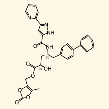 Cc1oc(=O)oc1COC(=O)[C@H](O)C[C@@H](Cc1ccc(-c2ccccc2)cc1)NC(=O)c1cc(-c2ccccn2)n[nH]1